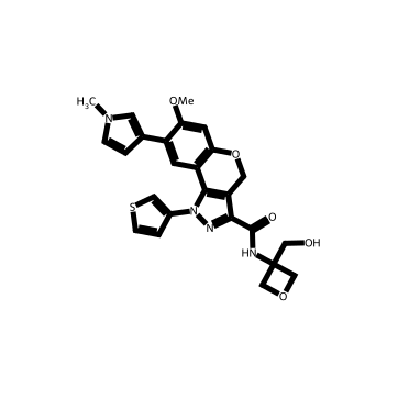 COc1cc2c(cc1-c1ccn(C)c1)-c1c(c(C(=O)NC3(CO)COC3)nn1-c1ccsc1)CO2